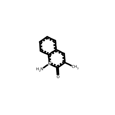 Cc1cc2ccccc2n(N)c1=O